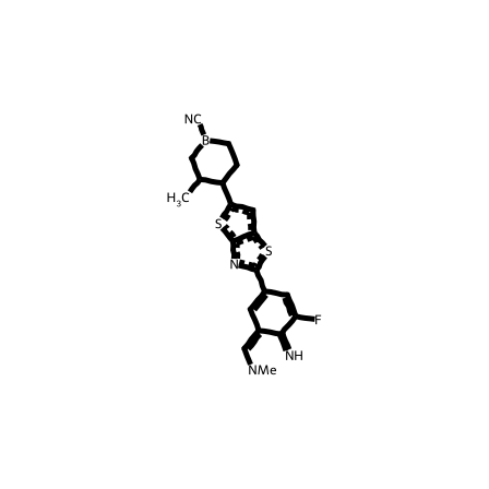 CN/C=C1/C=C(c2nc3sc(C4CCB(C#N)CC4C)cc3s2)C=C(F)C1=N